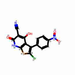 N#Cc1c(O)c2c(-c3ccc([N+](=O)[O-])cc3)c(Br)sc2[nH]c1=O